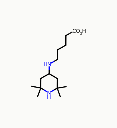 CC1(C)CC(NCCCCC(=O)O)CC(C)(C)N1